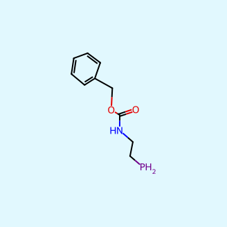 O=C(NCCP)OCc1ccccc1